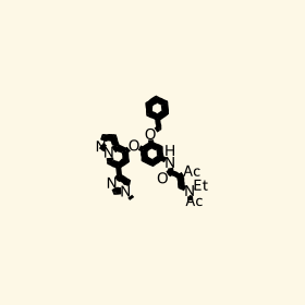 CCN(/C=C(\C(C)=O)C(=O)Nc1ccc(Oc2cc(-c3cn(C)cn3)cn3nccc23)c(OCc2ccccc2)c1)C(C)=O